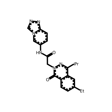 CCc1ccc2c(=O)n(CC(=O)Nc3ccc4nncn4c3)nc(C(C)C)c2c1